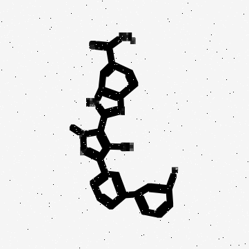 Cn1nc(-c2cccc(-c3cccc(F)c3)c2)c(O)c1-c1nc2ccc(C(N)=O)cc2[nH]1